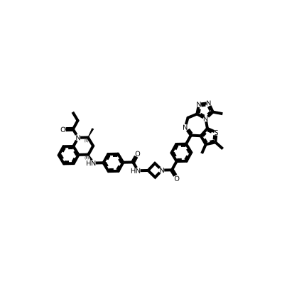 CCC(=O)N1c2ccccc2[C@H](Nc2ccc(C(=O)NC3CN(C(=O)c4ccc(C5=NCc6nnc(C)n6-c6sc(C)c(C)c65)cc4)C3)cc2)C[C@@H]1C